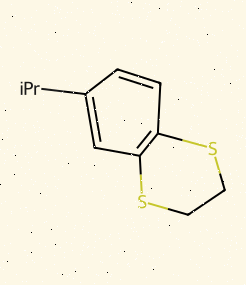 CC(C)c1ccc2c(c1)SCCS2